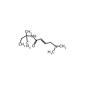 CCC(C)(C)NC(=O)/C=C/CN(C)C